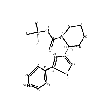 CC(C)(C)OC(=O)N1CCCC[C@@H]1c1csc(-c2ccncc2)n1